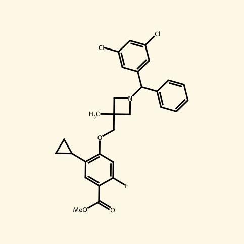 COC(=O)c1cc(C2CC2)c(OCC2(C)CN(C(c3ccccc3)c3cc(Cl)cc(Cl)c3)C2)cc1F